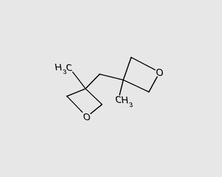 CC1(CC2(C)COC2)COC1